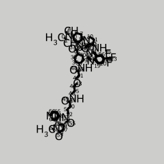 CC(C)N(C)[C@@H]1CC[C@H](N2CC[C@H](Nc3ncnc4ccc(C(F)(F)F)cc34)C2=O)[C@H](NC(=O)C2CCC(NC(=O)CCOCCCNC(=O)CCCNC(=O)[C@H]3CC(=O)N(C)[C@@H]3c3cccnc3)CC2)C1